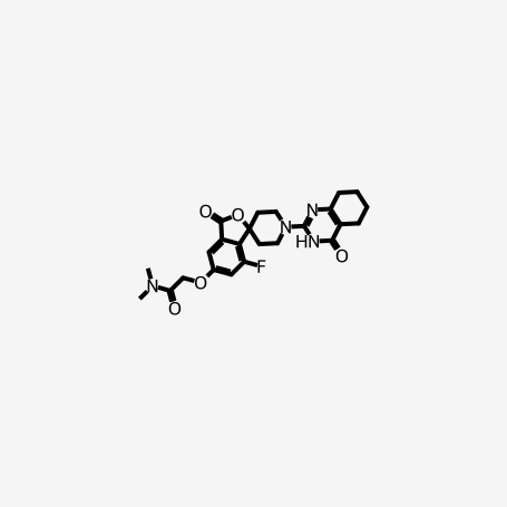 CN(C)C(=O)COc1cc(F)c2c(c1)C(=O)OC21CCN(c2nc3c(c(=O)[nH]2)CCCC3)CC1